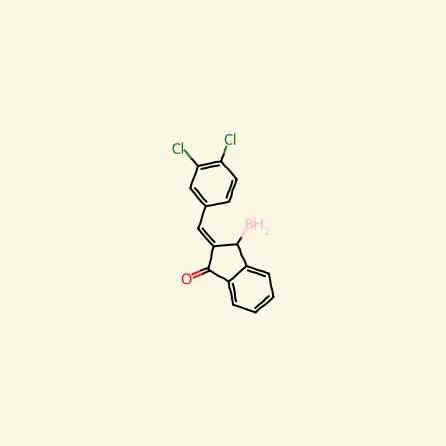 BC1/C(=C\c2ccc(Cl)c(Cl)c2)C(=O)c2ccccc21